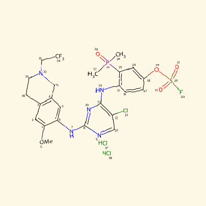 COc1cc2c(cc1Nc1ncc(Cl)c(Nc3ccc(OS(=O)(=O)F)cc3P(C)(C)=O)n1)CN(CC(F)(F)F)CC2.Cl.Cl